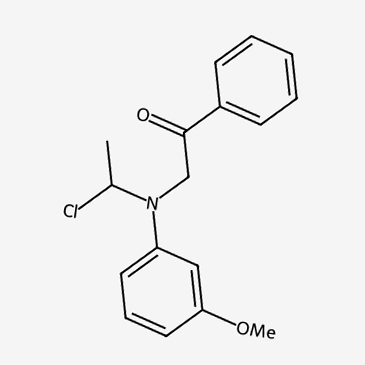 COc1cccc(N(CC(=O)c2ccccc2)C(C)Cl)c1